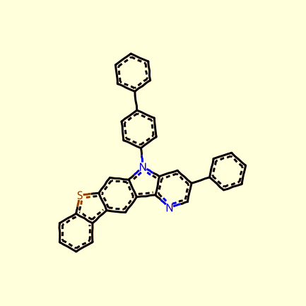 c1ccc(-c2ccc(-n3c4cc5sc6ccccc6c5cc4c4ncc(-c5ccccc5)cc43)cc2)cc1